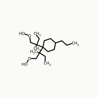 CCCC1CCC(C(C)(CC)COO)(C(C)(CC)COO)CC1